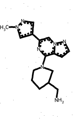 Cn1cc(-c2cn3nccc3c(N3CCCC(CN)C3)n2)cn1